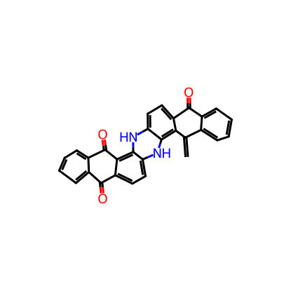 C=C1c2ccccc2C(=O)c2ccc3[nH]c4c(ccc5c(=O)c6ccccc6c(=O)c54)[nH]c3c21